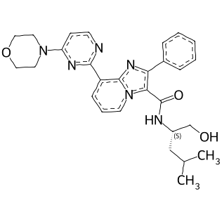 CC(C)C[C@@H](CO)NC(=O)c1c(-c2ccccc2)nc2c(-c3nccc(N4CCOCC4)n3)cccn12